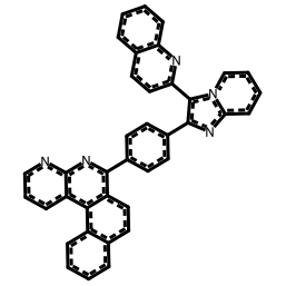 c1ccc2nc(-c3c(-c4ccc(-c5nc6ncccc6c6c5ccc5ccccc56)cc4)nc4ccccn34)ccc2c1